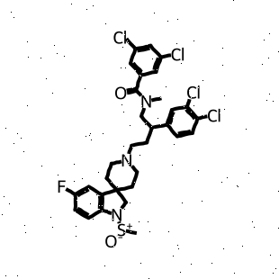 CN(CC(CCN1CCC2(CC1)CN([S+](C)[O-])c1ccc(F)cc12)c1ccc(Cl)c(Cl)c1)C(=O)c1cc(Cl)cc(Cl)c1